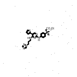 CCOC(=O)N=S(C)(=O)c1ccc(Nc2ncc(-c3cccs3)c(NCCCn3cncn3)n2)cc1